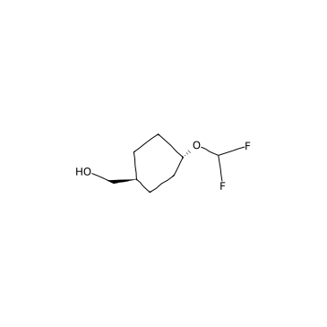 OC[C@H]1CC[C@H](OC(F)F)CC1